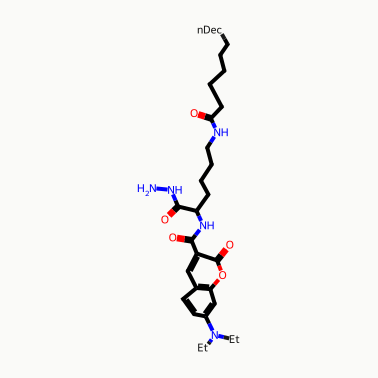 CCCCCCCCCCCCCCCC(=O)NCCCCC(NC(=O)c1cc2ccc(N(CC)CC)cc2oc1=O)C(=O)NN